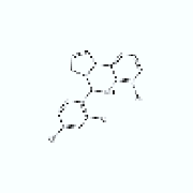 CC(=O)c1cccc2c1NC(c1ccc(Cl)cc1Cl)C1CC=CC21